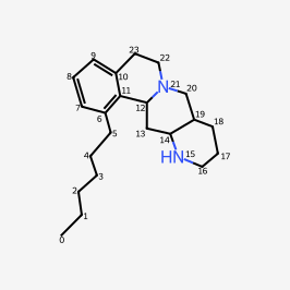 CCCCCCc1cccc2c1C1CC3NCCCC3CN1CC2